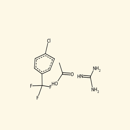 CC(=O)O.FC(F)(F)c1ccc(Cl)cc1.N=C(N)N